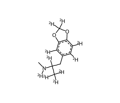 [2H]c1c([2H])c2c(c([2H])c1CC([2H])(N([2H])C)C([2H])([2H])[2H])OC([2H])([2H])O2